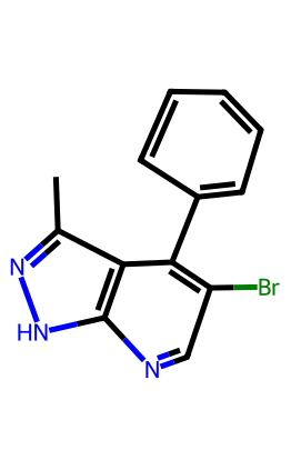 Cc1n[nH]c2ncc(Br)c(-c3ccccc3)c12